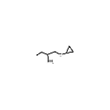 CCC(N)COC1CC1